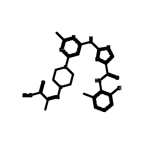 COC(=O)C(C)=NN1CCN(c2cc(Nc3ncc(C(=O)Nc4c(C)cccc4Cl)s3)nc(C)n2)CC1